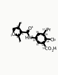 Cc1coc(C)c1C(=O)Nc1cc(C(=O)O)c(Cl)c(C(C)C)c1